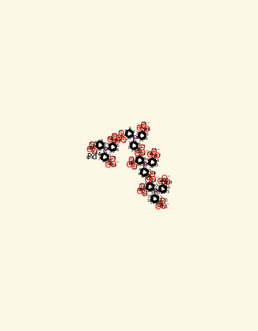 O=S(=O)([O-])c1cccc(P(c2cccc(S(=O)(=O)[O-])c2)c2cccc(S(=O)(=O)[O-])c2)c1.O=S(=O)([O-])c1cccc(P(c2cccc(S(=O)(=O)[O-])c2)c2cccc(S(=O)(=O)[O-])c2)c1.O=S(=O)([O-])c1cccc(P(c2cccc(S(=O)(=O)[O-])c2)c2cccc(S(=O)(=O)[O-])c2)c1.O=S(=O)([O-])c1cccc(P(c2cccc(S(=O)(=O)[O-])c2)c2cccc(S(=O)(=O)[O-])c2)c1.[Pd+4]